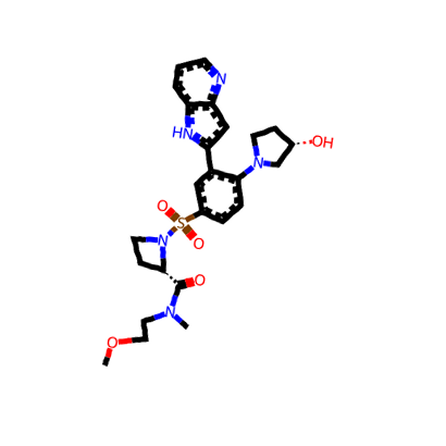 COCCN(C)C(=O)[C@@H]1CCN1S(=O)(=O)c1ccc(N2CC[C@H](O)C2)c(-c2cc3ncccc3[nH]2)c1